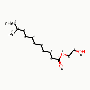 CCCCCCC(CCCCCCCCC(=O)OCCO)C(C)C